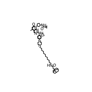 COc1cc(N2CCN(CCCCCCCCCCCCNC(=O)CC34CC5CC(CC(C5)C3)C4)CC2)ccc1Nc1ncc2c(C)cc(=O)n([C@H]3CC[C@@H](NC(=O)C4CC4)C3)c2n1